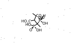 CC(C(=O)O)C(C(=O)O)C(C)(P(=O)(O)O)P(=O)(O)O